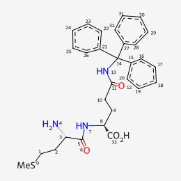 CSCC[C@H](N)C(=O)N[C@@H](CCC(=O)NC(c1ccccc1)(c1ccccc1)c1ccccc1)C(=O)O